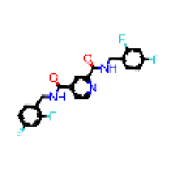 O=C(NCc1ccc(F)cc1F)c1ccnc(C(=O)NCc2ccc(F)cc2F)c1